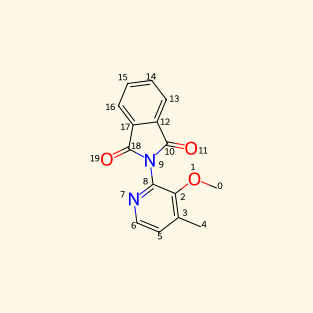 COc1c(C)ccnc1N1C(=O)c2ccccc2C1=O